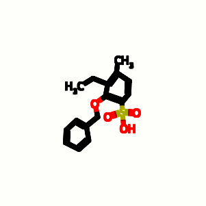 CCc1c(C)ccc(S(=O)(=O)O)c1OCc1ccccc1